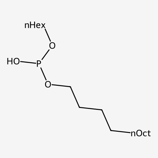 CCCCCCCCCCCCOP(O)OCCCCCC